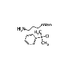 CC(C)(Cl)c1ccccc1.CCCCCCCCCCCCN